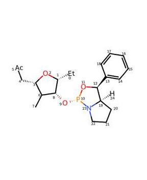 CC[C@H]1O[C@@H](CC(C)=O)C(C)[C@H]1O[P@]1O[C@@H](c2ccccc2)[C@H]2CCCN21